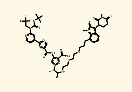 CC(NCCOCCOCCCc1cccc2c1n(C)c(=O)n2C1CCC(=O)NC1=O)[C@H](C)n1cc(NC(=O)c2coc(-c3ccnc(N(CC(F)(F)F)C(=O)OC(C)(C)C)c3)n2)c(C(N)=O)n1